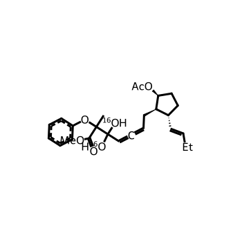 CCC=C[C@H]1CC[C@H](OC(C)=O)[C@@H]1CC=C=CC([16OH])([16OH])C(C)(Oc1ccccc1)C(=O)OC